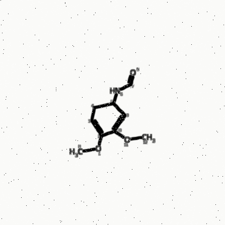 COC1=CCC(NC=O)C=C1OC